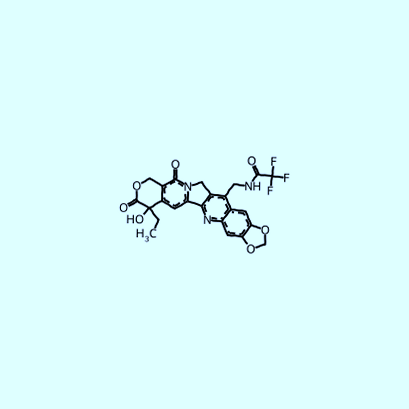 CCC1(O)C(=O)OCc2c1cc1n(c2=O)Cc2c-1nc1cc3c(cc1c2CNC(=O)C(F)(F)F)OCO3